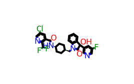 O=C(N[C@H]1CC[C@H](CN2C(=O)C(O)(c3cncc(F)c3)c3ccccc32)CC1)c1cc(Cl)cnc1C(F)F